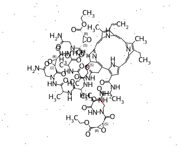 C=Cc1c(C)c2cc3nc(c(CC(=O)NC(C)C(=O)NC(C)C(=O)NN(CC(N)=O)C(=O)[C@H]4O[C@H]4C(=O)OCC)c4[nH]c(cc5nc(cc1[nH]2)C(C)=C5CC)cc4C(=O)NC(C)C(=O)NC(C)C(=O)NN(CC(N)=O)C(=O)[C@H]1O[C@H]1C(=O)OCC)[C@@H](CCC(=O)NC(C)C(=O)NC(C)C(=O)NN(CC(N)=O)C(=O)[C@H]1O[C@H]1C(=O)OCC)[C@@H]3C